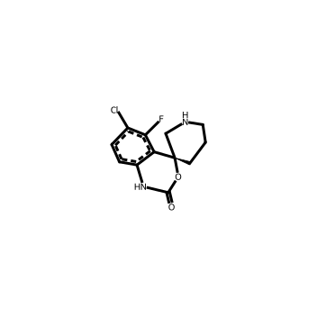 O=C1Nc2ccc(Cl)c(F)c2[C@@]2(CCCNC2)O1